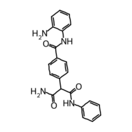 NC(=O)C(C(=O)Nc1ccccc1)c1ccc(C(=O)Nc2ccccc2N)cc1